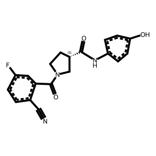 N#Cc1ccc(F)cc1C(=O)N1CC[C@H](C(=O)Nc2ccc(O)cc2)C1